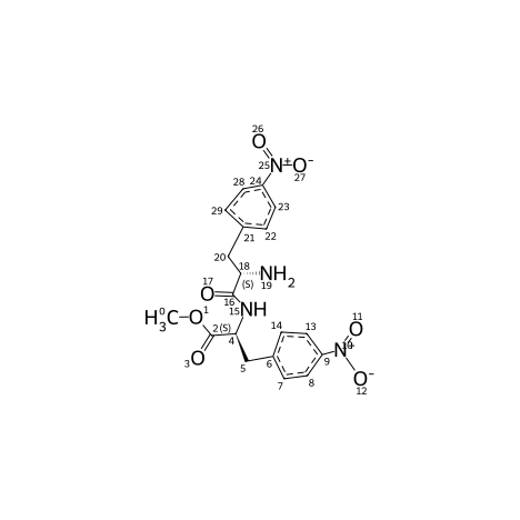 COC(=O)[C@H](Cc1ccc([N+](=O)[O-])cc1)NC(=O)[C@@H](N)Cc1ccc([N+](=O)[O-])cc1